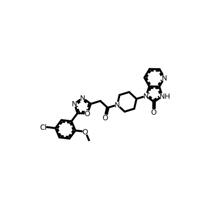 COc1ccc(Cl)cc1-c1nnc(CC(=O)N2CCC(n3c(=O)[nH]c4ncccc43)CC2)o1